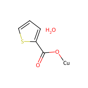 O.O=C([O][Cu])c1cccs1